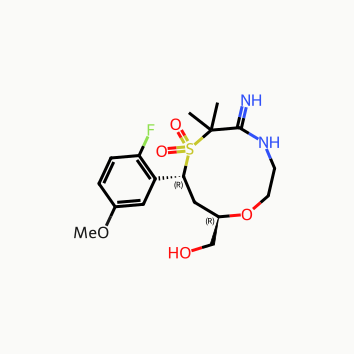 COc1ccc(F)c([C@H]2C[C@H](CO)OCCNC(=N)C(C)(C)S2(=O)=O)c1